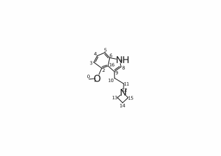 COc1cccc2[nH]cc(CCN3CCC3)c12